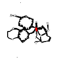 COc1ccc([C@@H]2C[C@H]3CC[C@@H](C2)N3C(=O)c2ccc3c(c2)OCCO3)cc1